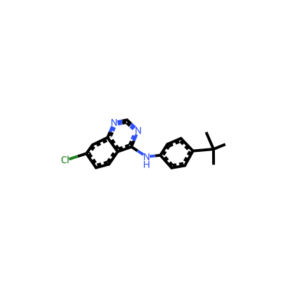 CC(C)(C)c1ccc(Nc2ncnc3cc(Cl)ccc23)cc1